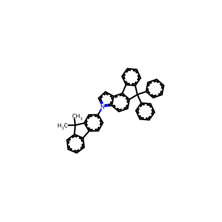 CC1(C)c2ccccc2-c2ccc(-n3ccc4c5c(ccc43)C(c3ccccc3)(c3ccccc3)c3ccccc3-5)cc21